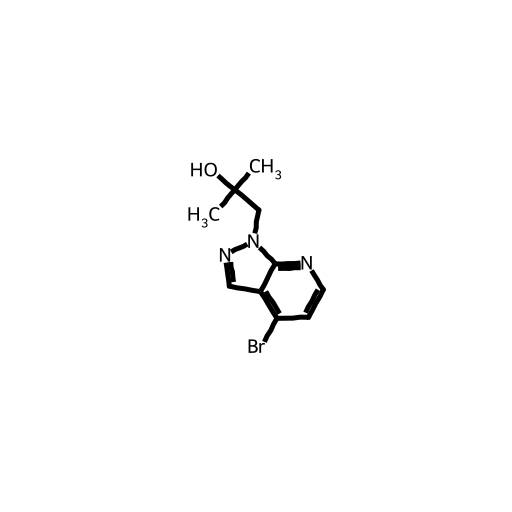 CC(C)(O)Cn1ncc2c(Br)ccnc21